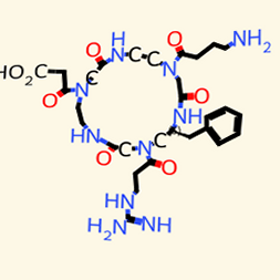 N=C(N)NCCC(=O)N1CC(=O)NCCN(C(=O)CC(=O)O)CC(=O)NCCN(C(=O)CCCN)CC(=O)N[C@@H](Cc2ccccc2)C1